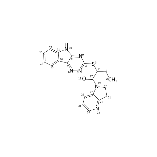 CCC(Sc1nnc2c(n1)[nH]c1ccccc12)C(=O)N1CCc2ncccc21